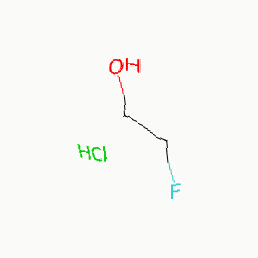 Cl.OCCF